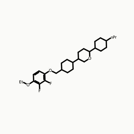 CCCC1CCC(C2CCC(C3CCC(COc4ccc(OCC)c(F)c4F)CC3)CO2)CC1